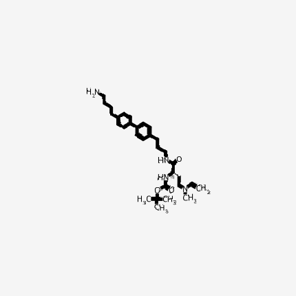 C=CN(C)CC[C@H](NC(=O)OC(C)(C)C)C(=O)NCCCc1ccc(-c2ccc(CCCCN)cc2)cc1